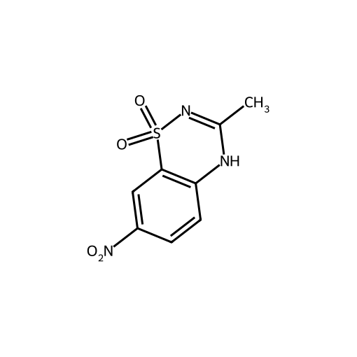 CC1=NS(=O)(=O)c2cc([N+](=O)[O-])ccc2N1